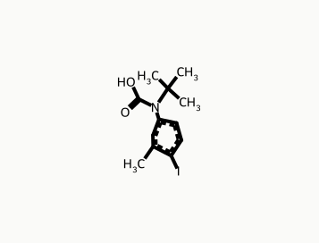 Cc1cc(N(C(=O)O)C(C)(C)C)ccc1I